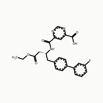 CCOC(=O)C[C@@H](Cc1ccc(-c2cccc(F)c2)cc1)NC(=O)c1cc(C(=O)O)ncn1